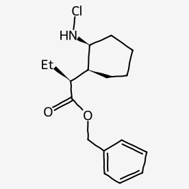 CC[C@H](C(=O)OCc1ccccc1)[C@@H]1CCCC[C@@H]1NCl